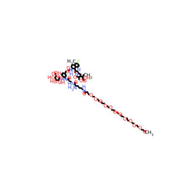 CC[C@@]1(O)C(=O)OCc2c1cc1n(c2=O)Cc2c-1nc1cc(F)c(C)c3c1c2[C@@H](NC(=O)OCc1ccc(O[C@@H]2O[C@H](C(=O)O)[C@@H](O)[C@H](O)[C@H]2O)c(NC(=O)CCNC(=O)[C@@H](N)CCCCNC(=O)CCOCCOCCOCCOCCOCCOCCOCCOCCOCCOCCOCCOC)c1)CC3